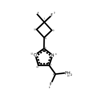 CC1(F)CC(c2nc(C(F)P)co2)C1